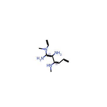 C=C/C=C(NC)\C(N)=C(/N)N(C)C=C